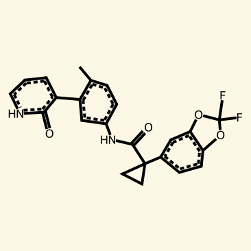 Cc1ccc(NC(=O)C2(c3ccc4c(c3)OC(F)(F)O4)CC2)cc1-c1ccc[nH]c1=O